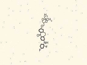 CC1(C)OCC(COc2ccc3c(c2)CCc2cc(Nc4ccc(F)cc4F)ccc2C3=O)O1